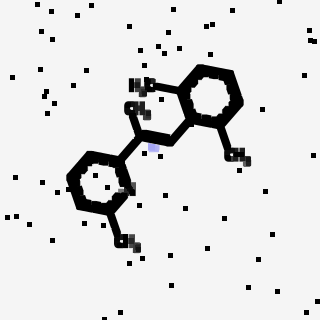 C/C(=C\c1c(C)cccc1C)c1cccc(C)n1